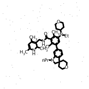 CCCN1CC2(CCOCC2)c2ccc(-c3cc(N(CC)C4CCOCC4)c(C)c(C(=O)NCC4=C(C)C=C(C)NC4C)c3Cl)cc21